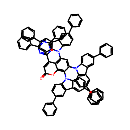 O=c1cc(-c2nc(-c3ccccc3)nc(-c3ccccc3)n2)c2c(-n3c4ccc(-c5ccccc5)cc4c4cc(-c5ccccc5)ccc43)cc(-n3c4ccc(-c5ccccc5)cc4c4cc(-c5ccccc5)ccc43)c(-n3c4ccc(-c5ccccc5)cc4c4cc(-c5ccccc5)ccc43)c2o1